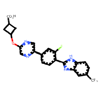 O=C(O)C1CC(Oc2cnc(-c3ccc(-c4nc5cc(C(F)(F)F)ccc5[nH]4)c(F)c3)cn2)C1